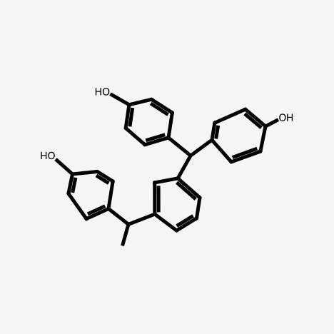 CC(c1ccc(O)cc1)c1cccc(C(c2ccc(O)cc2)c2ccc(O)cc2)c1